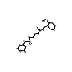 CCCC1CCCCC1CCC(=O)CCCCC(=O)CC1CCCCC1